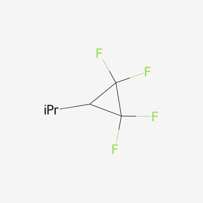 CC(C)C1C(F)(F)C1(F)F